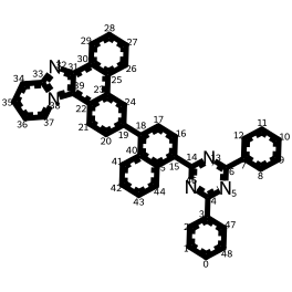 c1ccc(-c2nc(-c3ccccc3)nc(-c3ccc(-c4ccc5c(c4)c4ccccc4c4nc6ccccn6c54)c4ccccc34)n2)cc1